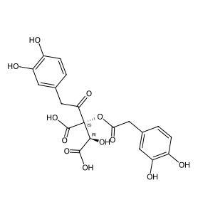 O=C(Cc1ccc(O)c(O)c1)O[C@](C(=O)O)(C(=O)Cc1ccc(O)c(O)c1)[C@@H](O)C(=O)O